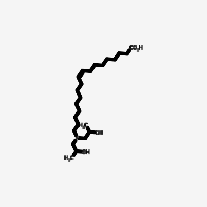 CC(O)CN(CCCCCCCC/C=C\CCCCCCCC(=O)O)CC(C)O